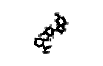 CNC(=O)C1CCCCC1Nc1nc(-c2c[nH]c3ncc(Cl)cc23)ncc1F